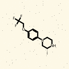 C[C@@H]1CN(c2ccc(OCC(F)(F)F)cc2)CCN1